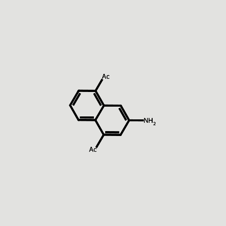 CC(=O)c1cc(N)cc2c(C(C)=O)cccc12